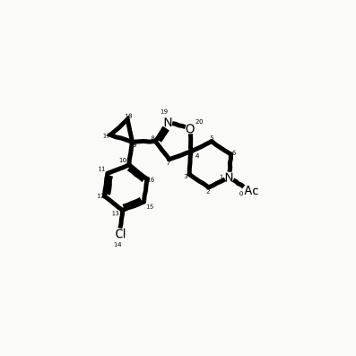 CC(=O)N1CCC2(CC1)CC(C1(c3ccc(Cl)cc3)CC1)=NO2